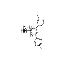 Cc1ccc(-c2cc(-c3cccc(C)c3)nc(NN)n2)cc1